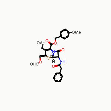 COc1ccc(COC(=O)C2=C(COC(C)=O)C(=COC=O)S[C@H]3C(NC(=O)Cc4ccccc4)C(=O)N23)cc1